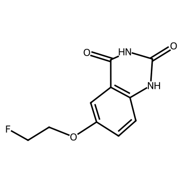 O=c1[nH]c(=O)c2cc(OCCF)ccc2[nH]1